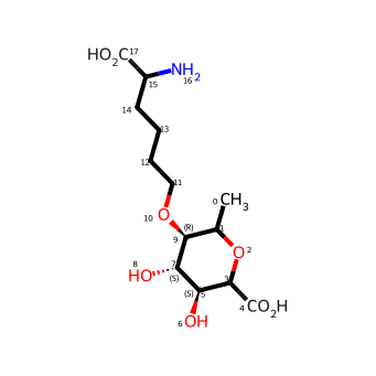 CC1OC(C(=O)O)[C@@H](O)[C@H](O)[C@H]1OCCCCC(N)C(=O)O